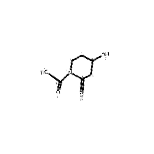 O=C(O)N1CCC(O)CC1=O